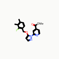 COC(=O)c1ccnc(-n2nccc2OCc2ccc(C)c(C)c2F)c1